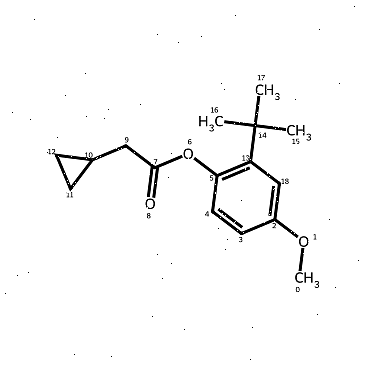 COc1ccc(OC(=O)CC2CC2)c(C(C)(C)C)c1